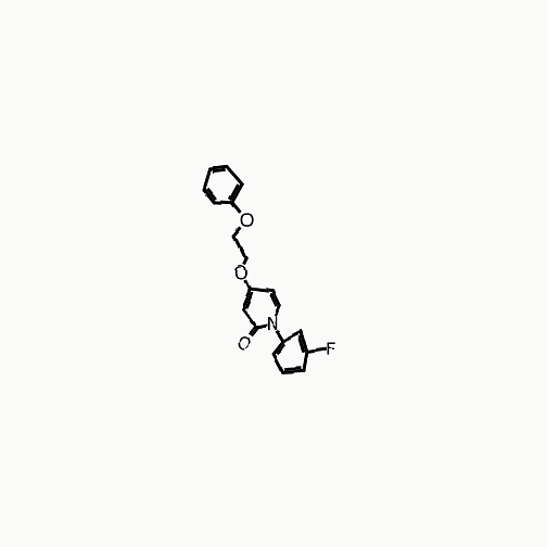 O=c1cc(OCCOc2ccccc2)ccn1-c1cccc(F)c1